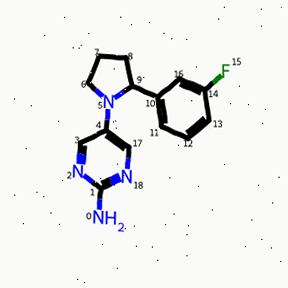 Nc1ncc(N2CCCC2c2cccc(F)c2)cn1